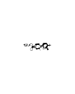 Cc1nc(N2CCN(C(=O)OC(C)(C)C)C[C@H]2C)ccc1F